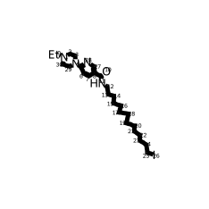 CCN1CCN(c2ccc(C(=O)NCCCCCCCCCCCCCCI)cn2)CC1